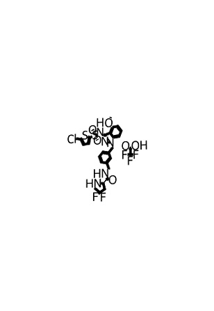 COc1cccc2c1c(NS(=O)(=O)c1ccc(Cl)s1)nn2Cc1cccc(CNC(=O)[C@H]2CC(F)(F)CN2)c1.O=C(O)C(F)(F)F